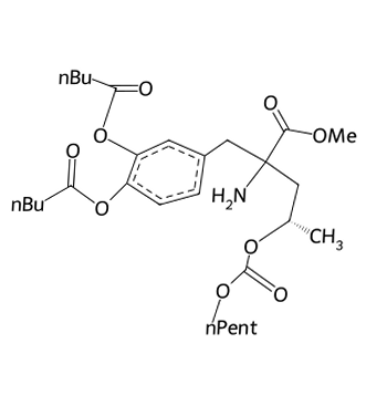 CCCCCOC(=O)O[C@@H](C)CC(N)(Cc1ccc(OC(=O)CCCC)c(OC(=O)CCCC)c1)C(=O)OC